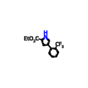 CCOC(=O)c1cc(-c2ccccc2C(F)(F)F)c[nH]1